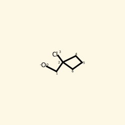 [O]CC1(Cl)CCC1